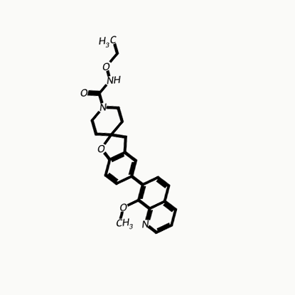 CCONC(=O)N1CCC2(CC1)Cc1cc(-c3ccc4cccnc4c3OC)ccc1O2